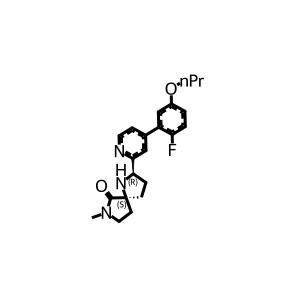 CCCOc1ccc(F)c(-c2ccnc([C@H]3CC[C@@]4(CCN(C)C4=O)N3)c2)c1